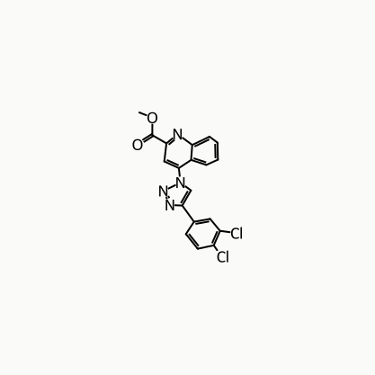 COC(=O)c1cc(-n2cc(-c3ccc(Cl)c(Cl)c3)nn2)c2ccccc2n1